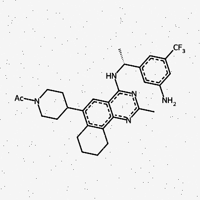 CC(=O)N1CCC(c2cc3c(N[C@H](C)c4cc(N)cc(C(F)(F)F)c4)nc(C)nc3c3c2CCCC3)CC1